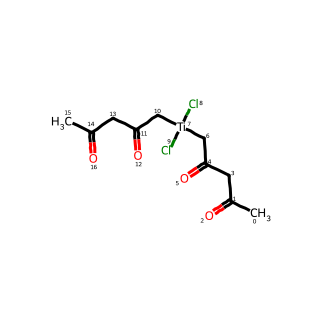 CC(=O)CC(=O)[CH2][Ti]([Cl])([Cl])[CH2]C(=O)CC(C)=O